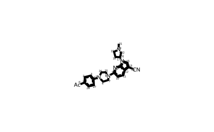 CC(=O)c1ccc(N2CCN(c3ccc4c(C#N)cn([C@H]5CCN(C)C5)c4n3)CC2)cc1